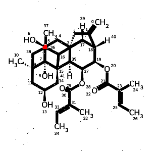 C=C1C[C@]23C[C@H](O)[C@]4(O)[C@@]5(C)C[C@H](O)C[C@]46C([C@H]2[C@H]1[C@@H](OC(=O)/C(C)=C/C)[C@@H](OC(=O)/C(C)=C/C)[C@H]36)N(C)C5